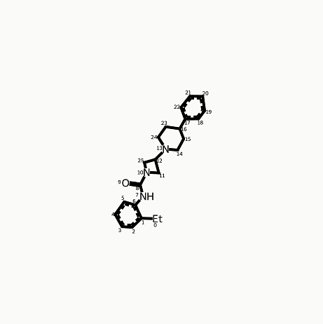 CCc1ccccc1NC(=O)N1CC(N2CCC(c3ccccc3)CC2)C1